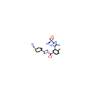 Cc1ccc(C(=O)N2CC(c3ccc(C#N)cc3)C2)cc1-c1[nH]c(C2(C#N)COC2)nc1C